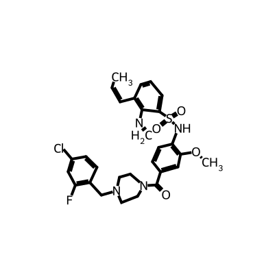 C=Nc1c(/C=C\C)cccc1S(=O)(=O)Nc1ccc(C(=O)N2CCN(Cc3ccc(Cl)cc3F)CC2)cc1OC